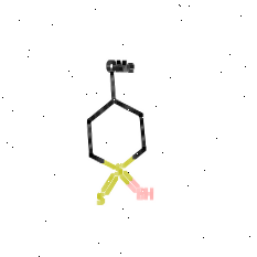 B=S1(=S)CCC(OC)CC1